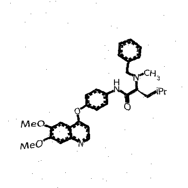 COc1cc2nccc(Oc3ccc(NC(=O)[C@H](CC(C)C)N(C)Cc4ccccc4)cc3)c2cc1OC